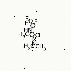 CCN(C)C=Nc1cc(C)c(Nc2ccc(F)c(OC(F)F)c2)cc1Cl